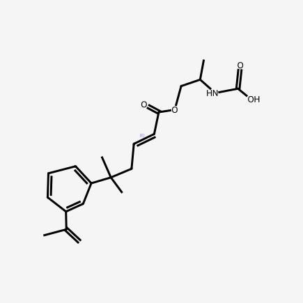 C=C(C)c1cccc(C(C)(C)C/C=C/C(=O)OCC(C)NC(=O)O)c1